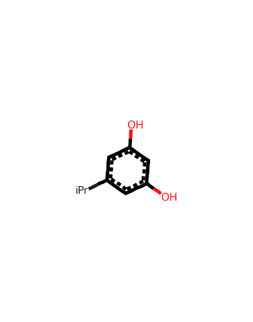 CC(C)c1cc(O)cc(O)c1